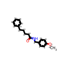 COc1ccc(CNC(=O)CCCCc2ccccc2)cc1